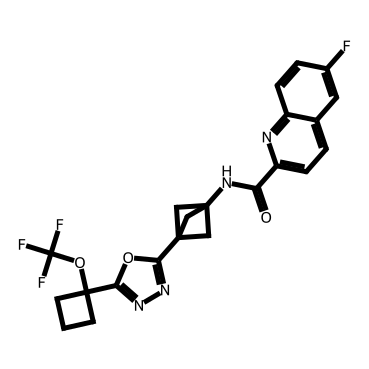 O=C(NC12CC(c3nnc(C4(OC(F)(F)F)CCC4)o3)(C1)C2)c1ccc2cc(F)ccc2n1